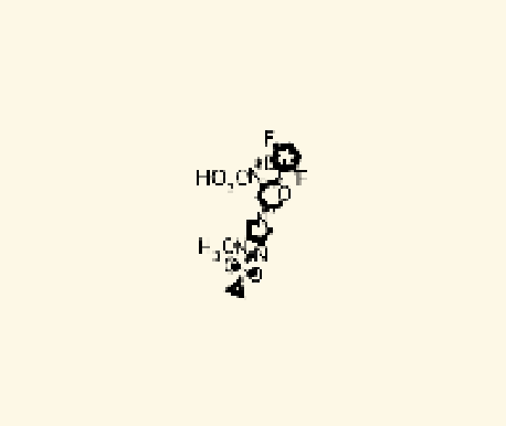 Cn1c(S(=O)(=O)C2CC2)nc2c1CN([C@H]1CO[C@H](c3cc(F)ccc3F)[C@@H](N(C(=O)O)C(C)(C)C)C1)C2